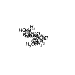 C[C@@H]1C[C@H](O)c2ncnc(N3CCN(C(=O)[C@@H](c4ccc(Cl)cc4)[C@@H]4CCC(C)(C)N4C)CC3)c21